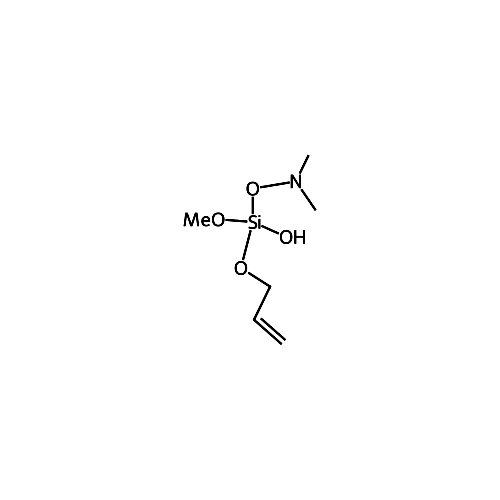 C=CCO[Si](O)(OC)ON(C)C